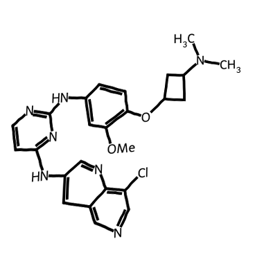 COc1cc(Nc2nccc(Nc3cnc4c(Cl)cncc4c3)n2)ccc1OC1CC(N(C)C)C1